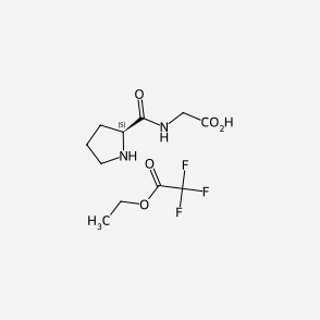 CCOC(=O)C(F)(F)F.O=C(O)CNC(=O)[C@@H]1CCCN1